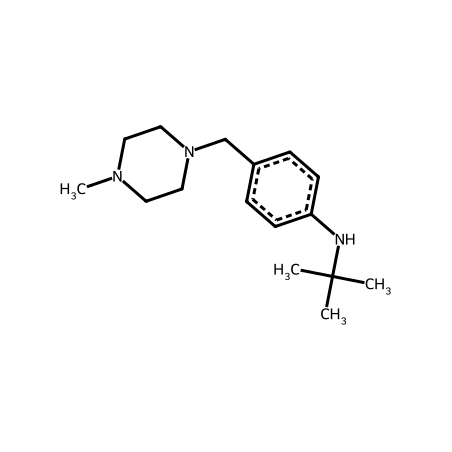 CN1CCN(Cc2ccc(NC(C)(C)C)cc2)CC1